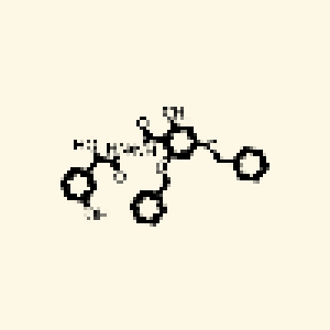 Cc1cc(OCc2ccccc2)cc(OCc2ccccc2)c1C(=O)NNC(=O)C(O)c1cccc(O)c1